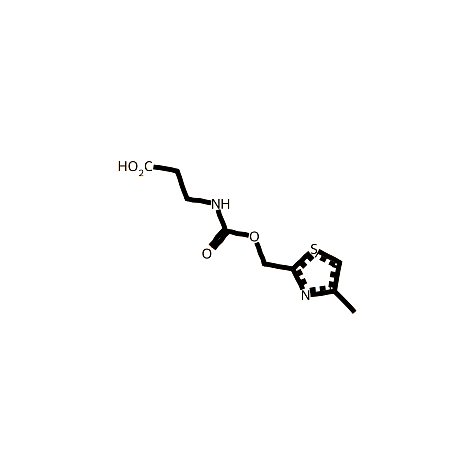 Cc1csc(COC(=O)NCCC(=O)O)n1